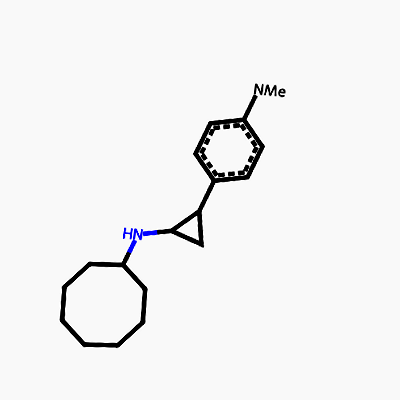 CNc1ccc(C2CC2NC2CCCCCCC2)cc1